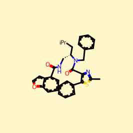 Cc1nc(C(=O)N(Cc2ccccc2)[C@H](CNC(=O)c2cccc3occc23)CC(C)C)c(-c2ccccc2)s1